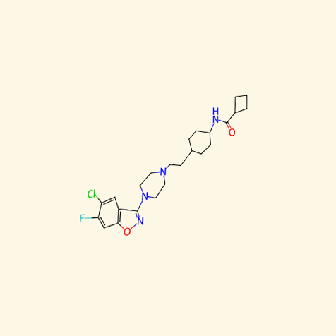 O=C(NC1CCC(CCN2CCN(c3noc4cc(F)c(Cl)cc34)CC2)CC1)C1CCC1